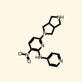 O=[N+]([O-])c1ccc(N2CC3CNCC3C2)nc1Nc1ccncc1